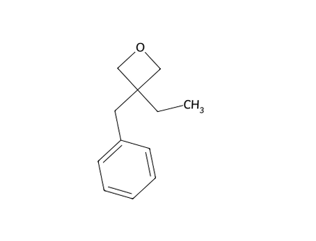 CCC1(Cc2ccccc2)COC1